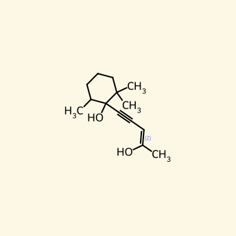 C/C(O)=C/C#CC1(O)C(C)CCCC1(C)C